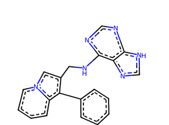 c1ccc(-c2c(CNc3ncnc4[nH]cnc34)cn3ccccc23)cc1